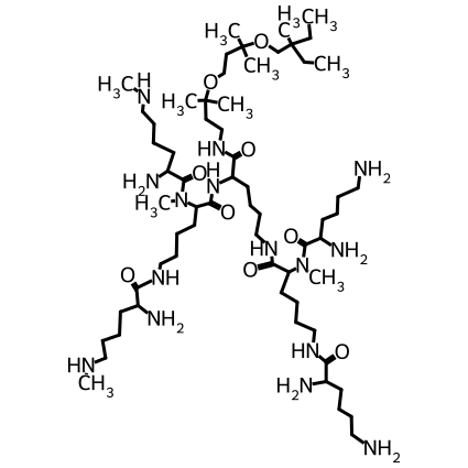 CCC(C)(CC)COC(C)(C)CCOC(C)(C)CCNC(=O)C(CCCCNC(=O)C(CCCCNC(=O)C(N)CCCCN)N(C)C(=O)C(N)CCCCN)NC(=O)C(CCCCNC(=O)C(N)CCCCNC)N(C)C(=O)C(N)CCCCNC